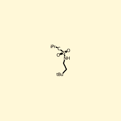 CC(C)CS(=O)(=O)NCCC(C)(C)C